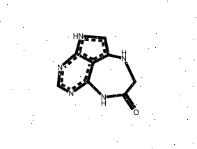 O=C1CNc2c[nH]c3ncnc(c23)N1